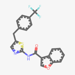 O=C(Nc1ncc(Cc2ccc(C(F)(F)F)cc2)s1)c1coc2ccccc12